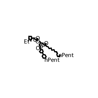 CCCCC/C=C\C/C=C\CCCCCCCC(=O)OCC(COC(=O)OCC1CCCN(CC)C1)COC(=O)C1CCC(C2CCC(CCCCC)CC2)CC1